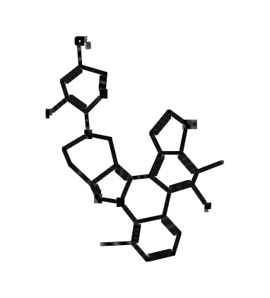 Cc1c(F)c2c3cccc(C)c3n3nc4c(c3c2c2cc[nH]c12)CN(c1ncc(C(F)(F)F)cc1F)CC4